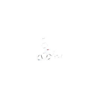 CC(C)O[C@H]1CC[C@H](C(=O)N2Cc3cc(F)cnc3Nc3ccc(N[C@@H]4CO[C@@H]5CCO[C@H]45)cc32)CC1